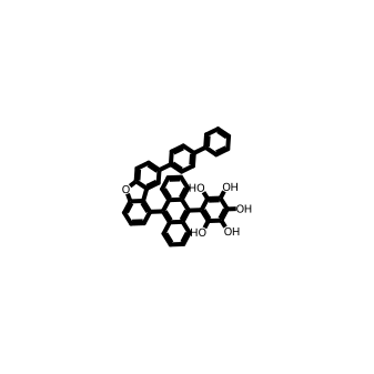 Oc1c(O)c(O)c(-c2c3ccccc3c(-c3cccc4oc5ccc(-c6ccc(-c7ccccc7)cc6)cc5c34)c3ccccc23)c(O)c1O